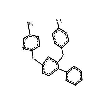 Nc1ccc(Oc2cc(Oc3ccc(N)cn3)ccc2-c2ccccc2)cc1